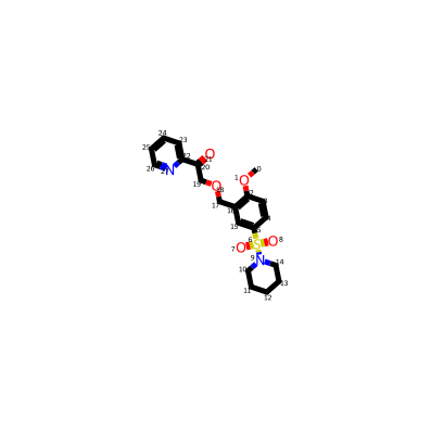 COc1ccc(S(=O)(=O)N2CCCCC2)cc1COCC(=O)c1ccccn1